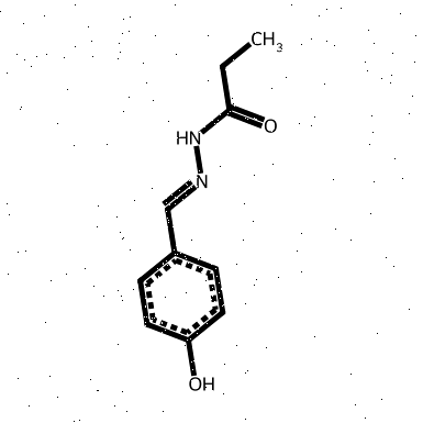 CCC(=O)NN=Cc1ccc(O)cc1